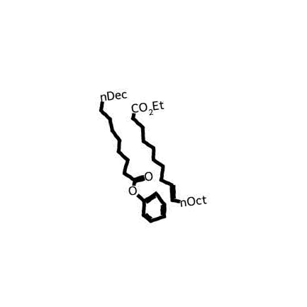 CCCCCCCCC=CCCCCCCCC(=O)OCC.CCCCCCCCCCCCCCCCCC(=O)Oc1ccccc1